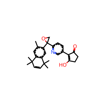 Cc1cc2c(cc1C1(c3ccc(C4=C(O)CCC4=O)cn3)CO1)C(C)(C)C=CC2(C)C